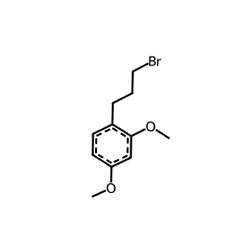 COc1ccc(CCCBr)c(OC)c1